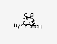 CCCCCC(=O)O.O=C(Cl)C(=O)Cl